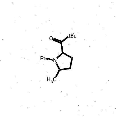 CCN1C(C)CCC1C(=O)C(C)(C)C